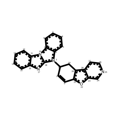 C1=CC(n2c3ccccc3n3c4ccccc4nc23)Cc2c1oc1cnccc21